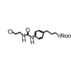 CCCCCCCCCCCCc1ccc(NC(=O)NCCCl)cc1